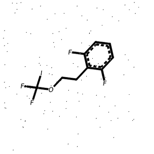 Fc1cccc(F)c1CCOC(F)(F)I